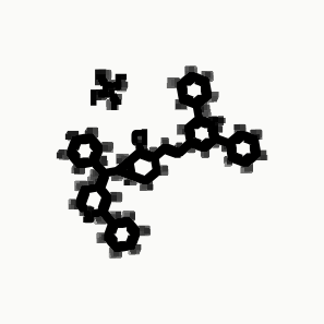 ClC1=C(C=Cc2cc(-c3ccccc3)[s+]c(-c3ccccc3)c2)CCC2C1C2C(=C1C=CSC(c2ccccc2)=C1)c1ccccc1.F[B-](F)(F)F